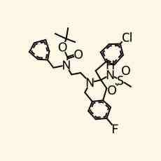 CC(C)(C)OC(=O)N(CCN1Cc2ccc(F)cc2CC1(Cc1ccc(Cl)cc1)NS(C)(=O)=O)Cc1ccccc1